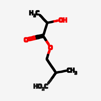 CC(O)C(=O)OCC(C)C(=O)O